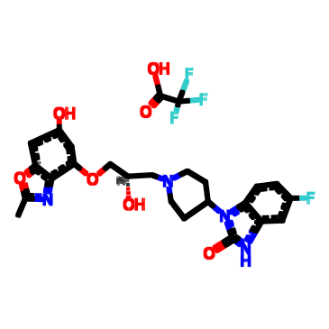 Cc1nc2c(OC[C@@H](O)CN3CCC(n4c(=O)[nH]c5cc(F)ccc54)CC3)cc(O)cc2o1.O=C(O)C(F)(F)F